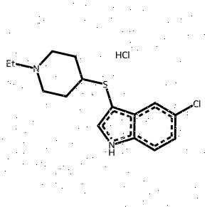 CCN1CCC(Sc2c[nH]c3ccc(Cl)cc23)CC1.Cl